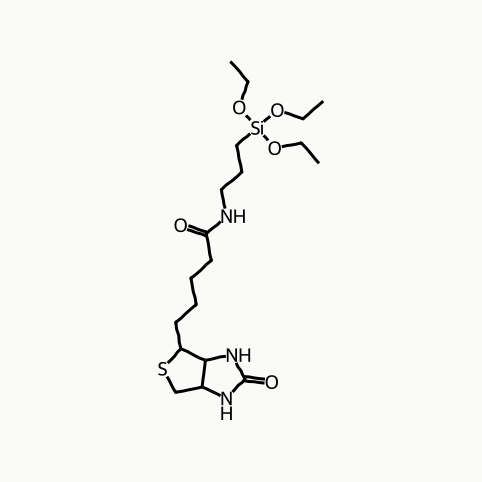 CCO[Si](CCCNC(=O)CCCCC1SCC2NC(=O)NC21)(OCC)OCC